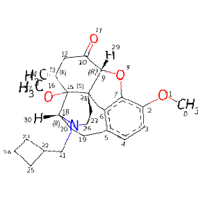 COc1ccc2c3c1O[C@H]1C(=O)C[C@@H](C)C4(OC)[C@@H](C2)N(CC2CCC2)CC[C@]314